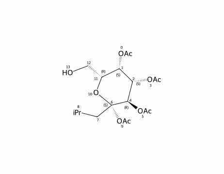 CC(=O)O[C@@H]1[C@H](OC(C)=O)[C@@H](OC(C)=O)[C@](CC(C)C)(OC(C)=O)O[C@@H]1CO